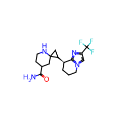 NC(=O)C1CCNC2(C1)CC2[C@@H]1CCCn2cc(C(F)(F)F)nc21